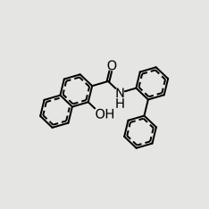 O=C(Nc1ccccc1-c1ccccc1)c1ccc2ccccc2c1O